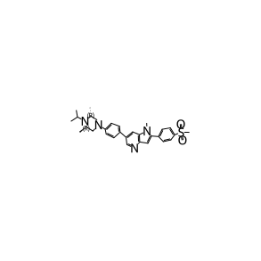 CC(C)N1[C@H](C)CN(c2ccc(-c3cnc4cc(-c5ccc(S(C)(=O)=O)cc5)n(C)c4c3)cc2)C[C@H]1C